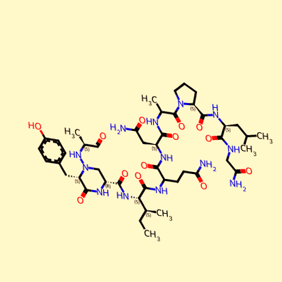 CC[C@H](C)[C@H](NC(=O)[C@H]1CN(N[C@@H](C)C=O)[C@@H](Cc2ccc(O)cc2)C(=O)N1)C(=O)NC(CCC(N)=O)C(=O)N[C@@H](CC(N)=O)C(=O)NC(C)C(=O)N1CCC[C@H]1C(=O)N[C@@H](CC(C)C)C(=O)NCC(N)=O